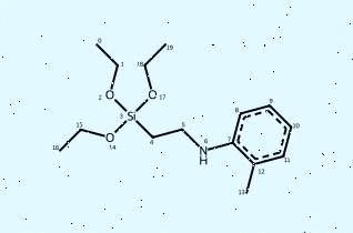 CCO[Si](CCNc1ccccc1C)(OCC)OCC